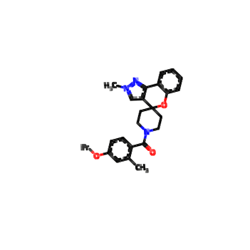 Cc1cc(OC(C)C)ccc1C(=O)N1CCC2(CC1)Oc1ccccc1-c1nn(C)cc12